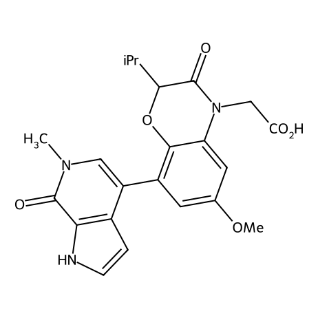 COc1cc(-c2cn(C)c(=O)c3[nH]ccc23)c2c(c1)N(CC(=O)O)C(=O)C(C(C)C)O2